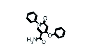 NC(=O)c1cn(-c2ccccc2)c(=O)cc1Oc1ccccc1